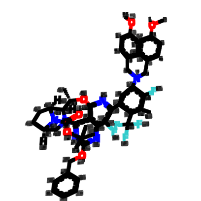 COc1ccc(CN(Cc2ccc(OC)cc2)c2cc(-c3nc4c5c(nc(OCc6ccccc6)nc5c3F)N3C[C@H]5CC[C@@H]([C@H]3[C@H](C)O4)N5C(=O)OC(C)(C)C)c(C(F)(F)F)c(C)c2F)cc1